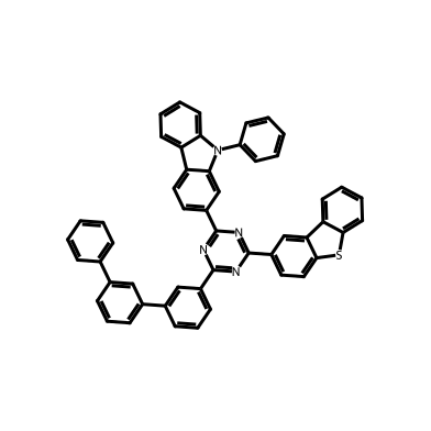 c1ccc(-c2cccc(-c3cccc(-c4nc(-c5ccc6sc7ccccc7c6c5)nc(-c5ccc6c7ccccc7n(-c7ccccc7)c6c5)n4)c3)c2)cc1